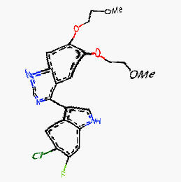 COCCOc1cc2ncnc(-c3c[nH]c4cc(F)c(Cl)cc34)c2cc1OCCOC